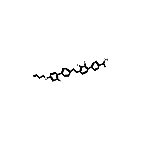 C=CCCOc1ccc(-c2ccc(CCc3ccc(-c4ccc(C(C)O)cc4)c(F)c3F)cc2)c(F)c1